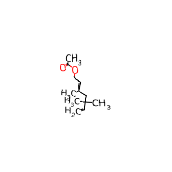 C=CC(C)(C)C/C(C)=C/COC(C)=O